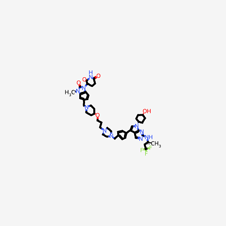 C[C@@H](CC(F)(F)F)Nc1ncc2c(-c3ccc(CN4CCN(CCCOC5CCN(Cc6ccc7c(c6)n(C)c(=O)n7C6CCC(=O)NC6=O)CC5)CC4)cc3)cn([C@H]3CC[C@H](O)CC3)c2n1